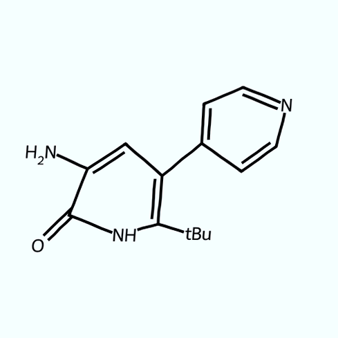 CC(C)(C)c1[nH]c(=O)c(N)cc1-c1ccncc1